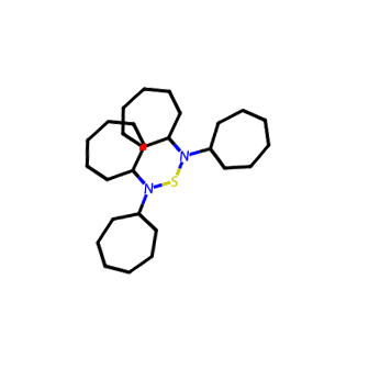 C1CCCC(N(SN(C2CCCCCC2)C2CCCCCC2)C2CCCCCC2)CC1